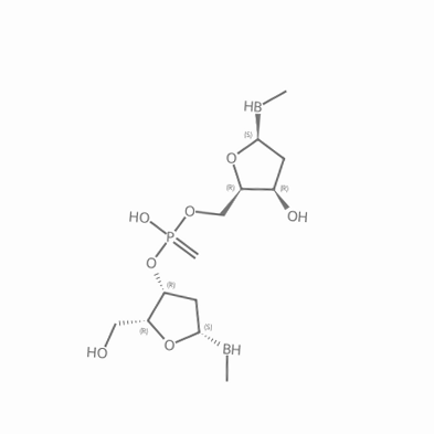 C=P(O)(OC[C@H]1O[C@@H](BC)C[C@H]1O)O[C@@H]1C[C@H](BC)O[C@@H]1CO